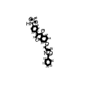 CS(=O)(=O)Nc1ccc(-c2coc3cc(OCc4coc(-c5ccccc5)n4)ccc3c2=O)cc1